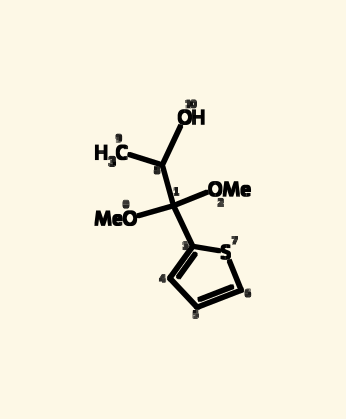 COC(OC)(c1cccs1)C(C)O